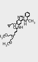 COCCN(C/C=C/C(=O)Nc1cc2c(N[C@H](C)c3ccccc3)ncnc2cc1OCC1CC1)CCOC